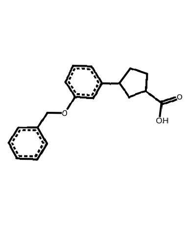 O=C(O)C1CCC(c2cccc(OCc3ccccc3)c2)C1